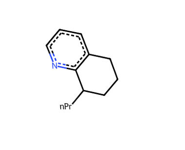 [CH2]CCC1CCCc2cccnc21